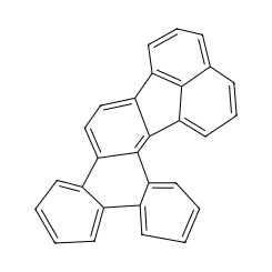 c1cc2c3c(cccc3c1)-c1c-2ccc2c3ccccc3c3ccccc3c12